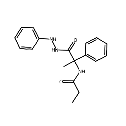 CCC(=O)NC(C)(C(=O)NNc1ccccc1)c1ccccc1